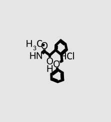 COC(=N)C(O)c1ccccc1COc1ccccc1.Cl